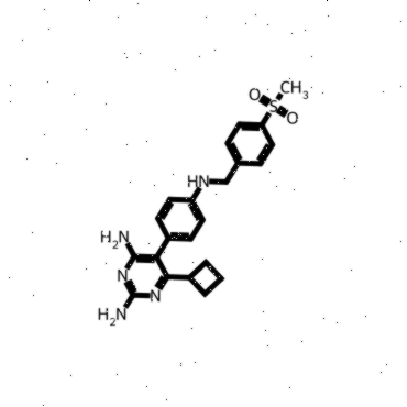 CS(=O)(=O)c1ccc(CNc2ccc(-c3c(N)nc(N)nc3C3CCC3)cc2)cc1